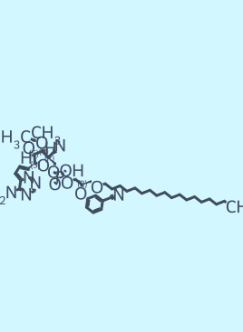 CCCCCCCCCCCCCCCCCCOC[C@H](COP(=O)(O)OC[C@@]1(C#N)O[C@@H](c2ccc3c(N)ncnn23)[C@@H]2OC(C)(C)O[C@@H]21)Oc1cccc(C#N)c1